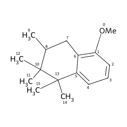 COc1cccc2c1CC(C)C(C)(C)C2(C)C